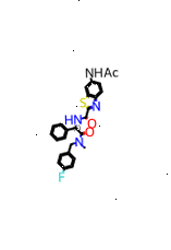 CC(=O)Nc1ccc2nc(C(=O)N[C@H](C(=O)N(C)Cc3ccc(F)cc3)c3ccccc3)sc2c1